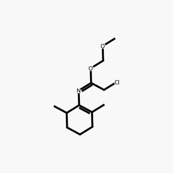 COCO/C(CCl)=N/C1=C(C)CCCC1C